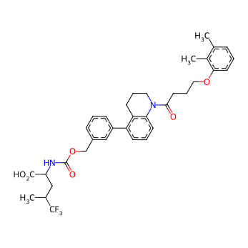 Cc1cccc(OCCCC(=O)N2CCCc3c(-c4cccc(COC(=O)NC(CC(C)C(F)(F)F)C(=O)O)c4)cccc32)c1C